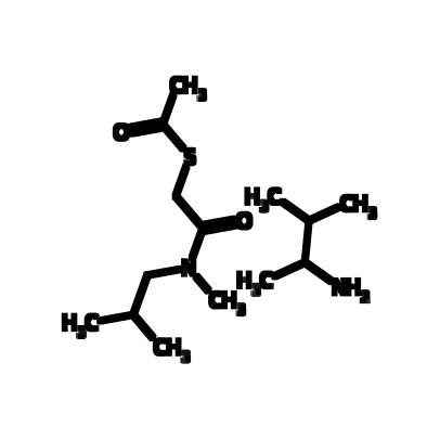 CC(=O)SCC(=O)N(C)CC(C)C.CC(C)C(C)N